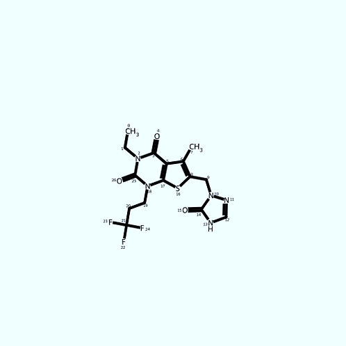 CCn1c(=O)c2c(C)c(Cn3nc[nH]c3=O)sc2n(CCC(F)(F)F)c1=O